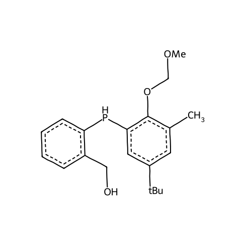 COCOc1c(C)cc(C(C)(C)C)cc1Pc1ccccc1CO